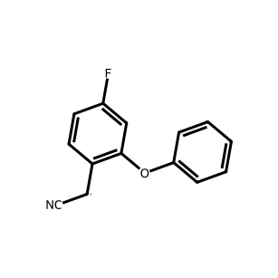 N#C[CH]c1ccc(F)cc1Oc1ccccc1